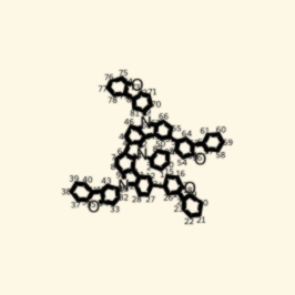 c1ccc(-n2c3c(ccc4c3c3cc(-c5ccc6oc7ccccc7c6c5)ccc3n4-c3ccc4oc5ccccc5c4c3)c3ccc4c(c5cc(-c6ccc7oc8ccccc8c7c6)ccc5n4-c4ccc5oc6ccccc6c5c4)c32)cc1